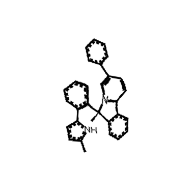 Cc1ccc(-c2ccccc2[C@@]2(C)c3ccccc3C3C=CC(c4ccccc4)=CN32)[nH]1